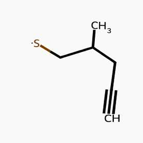 C#CCC(C)C[S]